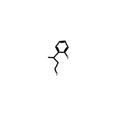 CC(CCF)c1ccccc1F